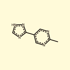 Cc1ncc(-c2nc[nH]n2)cn1